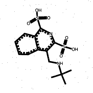 CC(C)(C)NCc1c(S(=O)(=O)O)nc(S(=O)(=O)O)c2ccccc12